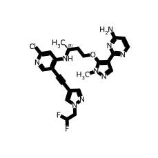 C[C@H](CCOc1c(-c2nccc(N)n2)cnn1C)Nc1cc(Cl)ncc1C#Cc1cnn(CC(F)F)c1